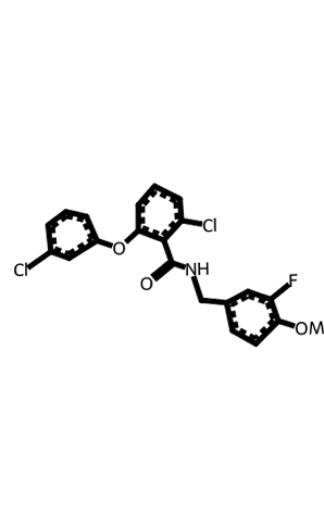 COc1ccc(CNC(=O)c2c(Cl)cccc2Oc2cccc(Cl)c2)cc1F